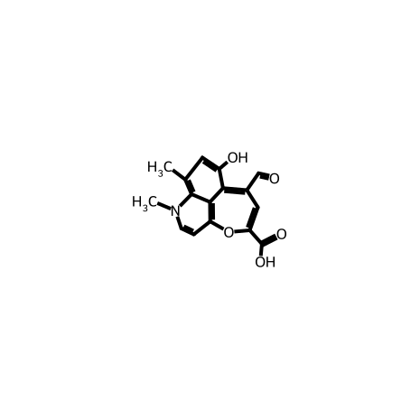 Cc1cc(O)c2c3c1N(C)C=CC=3OC(C(=O)O)=CC=2C=O